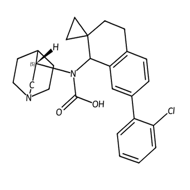 O=C(O)N(C1c2cc(-c3ccccc3Cl)ccc2CCC12CC2)[C@@H]1CN2CCC1CC2